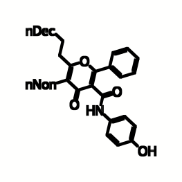 CCCCCCCCCCCCc1oc(-c2ccccc2)c(C(=O)Nc2ccc(O)cc2)c(=O)c1CCCCCCCCC